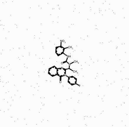 Cc1c(NC(=O)N(C)C(C)c2nc3ccccc3c(=O)n2-c2ccc(F)cc2)cccc1[N+](=O)[O-]